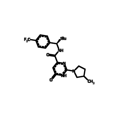 CC1CCN(c2nc(C(=O)N[C@@H](c3ccc(C(F)(F)F)cc3)C(C)(C)C)cc(=O)[nH]2)C1